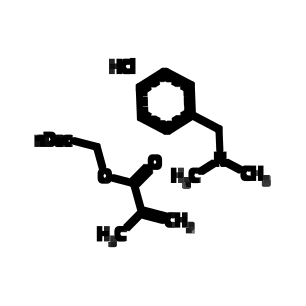 C=C(C)C(=O)OCCCCCCCCCCC.CN(C)Cc1ccccc1.Cl